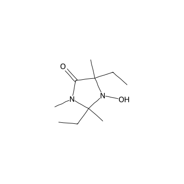 CCC1(C)C(=O)N(C)C(C)(CC)N1O